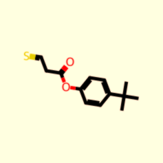 CC(C)(C)c1ccc(OC(=O)CC=S)cc1